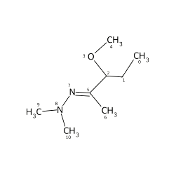 CCC(OC)/C(C)=N/N(C)C